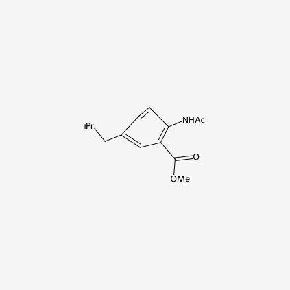 COC(=O)c1cc(CC(C)C)ccc1NC(C)=O